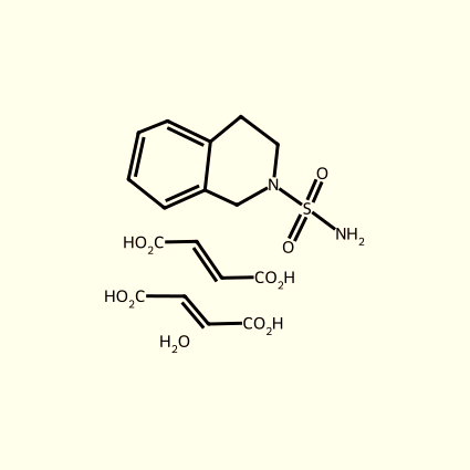 NS(=O)(=O)N1CCc2ccccc2C1.O.O=C(O)C=CC(=O)O.O=C(O)C=CC(=O)O